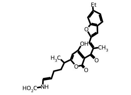 CCc1ccc2cc(/C=C(\C)C(=O)c3c(O)cc(C(C)CC/C=C/NC(=O)O)oc3=O)oc2c1